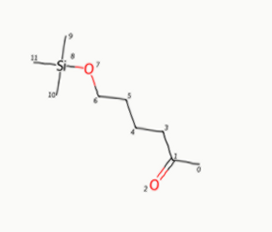 CC(=O)CCCCO[Si](C)(C)C